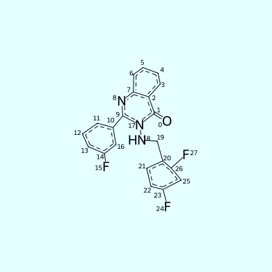 O=c1c2ccccc2nc(-c2cccc(F)c2)n1NCc1ccc(F)cc1F